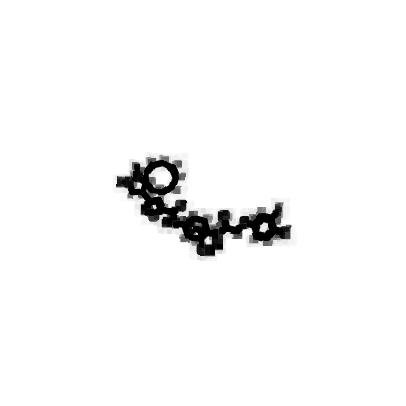 CN1NCC(c2cc(C(=O)NC34CCC(NC(=O)COc5ccc(Cl)c(F)c5)(CC3)C(O)C4)on2)C12CCCCCCCC2